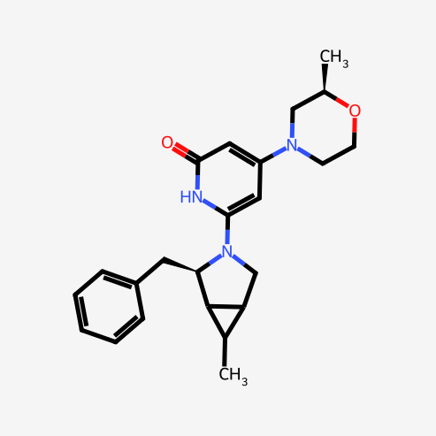 CC1C2CN(c3cc(N4CCO[C@H](C)C4)cc(=O)[nH]3)[C@H](Cc3ccccc3)C12